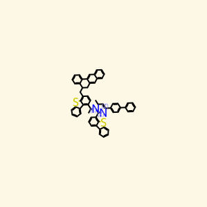 CC\C=C(/N=C(\N=C(/C)c1ccc(CC2Cc3cc4ccccc4cc3-c3ccccc32)c2sc3ccccc3c12)c1cccc2c1sc1ccccc12)c1ccc(-c2ccccc2)cc1